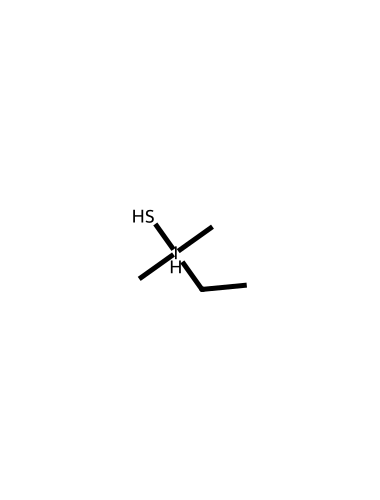 CC[IH](C)(C)S